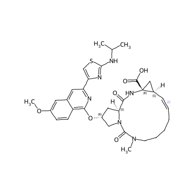 COc1ccc2c(O[C@@H]3C[C@H]4C(=O)N[C@]5(C(=O)O)C[C@H]5/C=C\CCCCN(C)C(=O)N4C3)nc(-c3csc(NC(C)C)n3)cc2c1